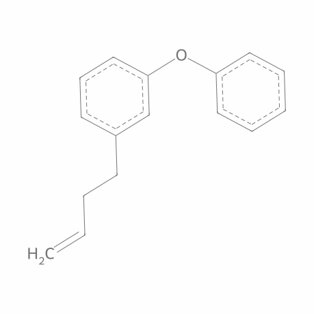 C=CCCc1cccc(Oc2ccccc2)c1